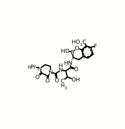 CCCN1CCN(C(=O)NC(C(=O)N[C@H]2Cc3ccc(F)c(C(=O)O)c3OB2O)C(C)O)C(=O)C1=O